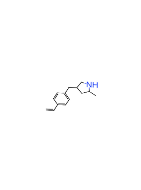 C=Cc1ccc(CC2CNC(C)C2)cc1